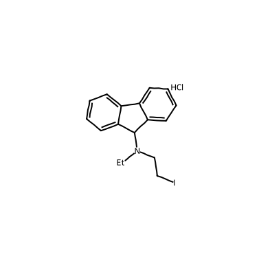 CCN(CCI)C1c2ccccc2-c2ccccc21.Cl